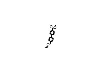 C=COCc1ccc(-c2ccc(C(=O)OC)cc2)cc1